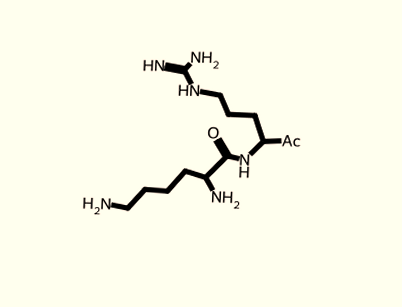 CC(=O)C(CCCNC(=N)N)NC(=O)C(N)CCCCN